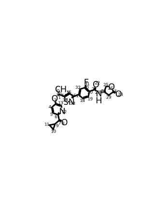 C[C@@H](Oc1ccc(C(=O)C2CC2)nc1)c1cc(-c2ccc(C(=O)N[C@@H]3COC(=O)C3)c(F)c2)ns1